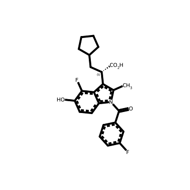 Cc1c([C@H](CC2CCCC2)C(=O)O)c2c(F)c(O)ccc2n1C(=O)c1cccc(F)c1